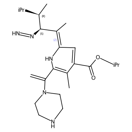 C=C(C1=C(C)C(C(=O)OC(C)C)=C/C(=C(\C)[C@@H](N=N)[C@H](C)C(C)C)N1)N1CCNCC1